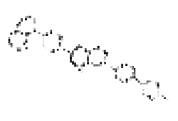 Fc1ccc(-c2ccc(-c3ccc4cc(-c5ccc(-c6cccc7cccnc67)cc5)cnc4c3)cc2)cc1